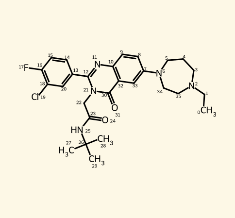 CCN1CCCN(c2ccc3nc(-c4ccc(F)c(Cl)c4)n(CC(=O)NC(C)(C)C)c(=O)c3c2)CC1